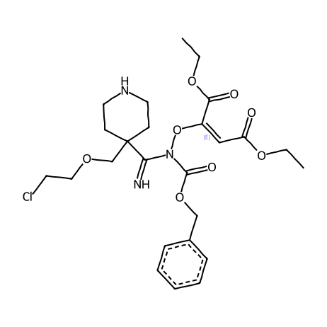 CCOC(=O)/C=C(/ON(C(=N)C1(COCCCl)CCNCC1)C(=O)OCc1ccccc1)C(=O)OCC